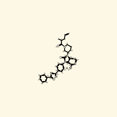 C=CCC(C)C(=O)N1CCCC(n2c(=O)n(-c3ccc(-c4noc(-c5ccccc5)n4)cc3)c3c(N)ncnc32)C1